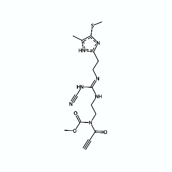 C#CC(=O)N(CCNC(=NCCc1nc(SC)c(C)[nH]1)NC#N)C(=O)OC